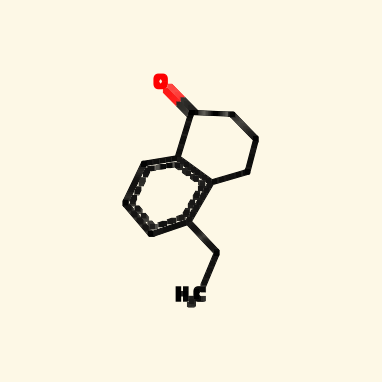 CCc1cccc2c1CCCC2=O